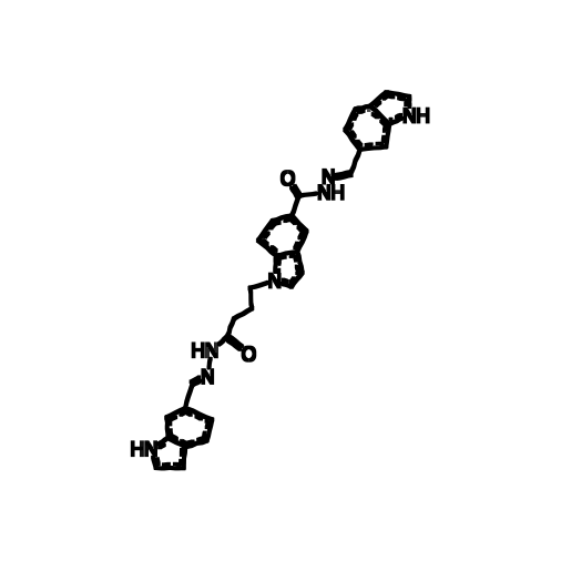 O=C(CCCn1ccc2cc(C(=O)N/N=C/c3ccc4cc[nH]c4c3)ccc21)N/N=C/c1ccc2cc[nH]c2c1